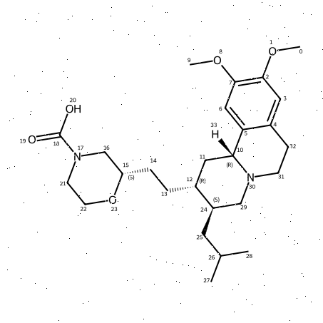 COc1cc2c(cc1OC)[C@H]1C[C@@H](CC[C@H]3CN(C(=O)O)CCO3)[C@H](CC(C)C)CN1CC2